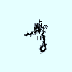 CCCCOc1nc(N)c2[nH]c(=O)n(CCCNCCCN3CCCCC3)c2n1